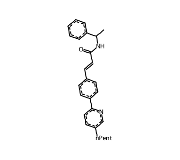 CCCCCc1ccc(-c2ccc(/C=C/C(=O)NC(C)c3ccccc3)cc2)nc1